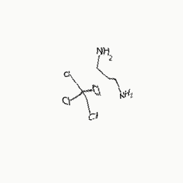 ClC(Cl)(Cl)Cl.NCCN